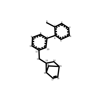 Cc1ccccc1-c1cccc(CC2CC3C=CC2C3)c1